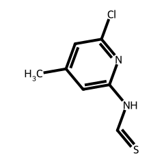 Cc1cc(Cl)nc(NC=S)c1